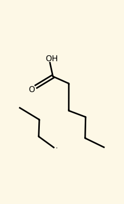 CCCCCC(=O)O.[CH2]CCC